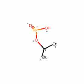 CCCCC(CC)O[PH](=O)O